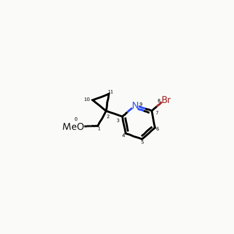 COCC1(c2cccc(Br)n2)CC1